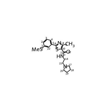 CSc1cccc(-c2nc(C)c(C(=O)NCCN3CCCC3)s2)c1